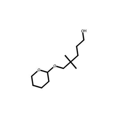 CC(C)(CCCO)COC1CCCCO1